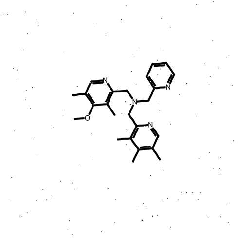 COc1c(C)cnc(CN(Cc2ccccn2)Cc2ncc(C)c(C)c2C)c1C